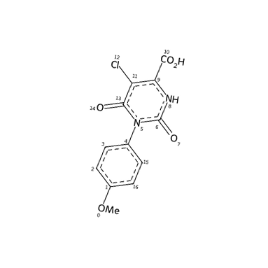 COc1ccc(-n2c(=O)[nH]c(C(=O)O)c(Cl)c2=O)cc1